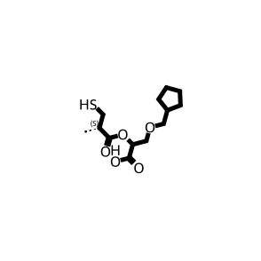 C[C@H](CS)C(=O)OC(COCC1CCCC1)C(=O)O